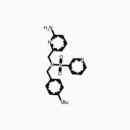 CC(C)(C)c1ccc(CN(Cc2cccc(N)n2)S(=O)(=O)c2cccnc2)cc1